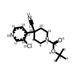 CC(C)(C)OC(=O)N1CCC(C#N)(c2ccncc2Cl)CC1